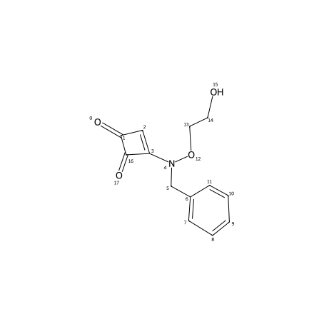 O=c1cc(N(Cc2ccccc2)OCCO)c1=O